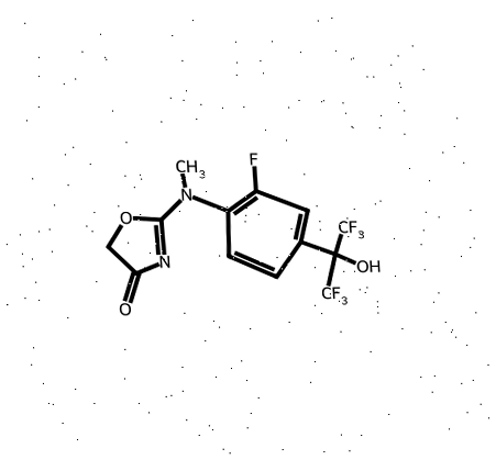 CN(C1=NC(=O)CO1)c1ccc(C(O)(C(F)(F)F)C(F)(F)F)cc1F